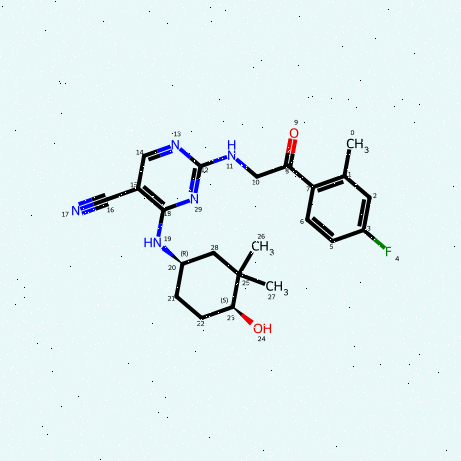 Cc1cc(F)ccc1C(=O)CNc1ncc(C#N)c(N[C@@H]2CC[C@H](O)C(C)(C)C2)n1